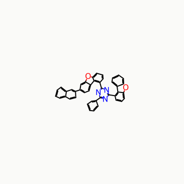 c1ccc(-c2nc(-c3cccc4oc5ccccc5c34)nc(-c3cccc4oc5cc(-c6ccc7ccccc7c6)ccc5c34)n2)cc1